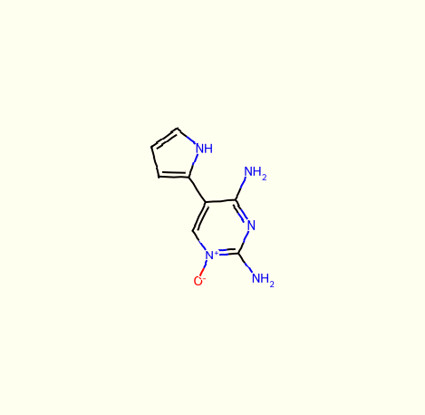 Nc1nc(N)[n+]([O-])cc1-c1ccc[nH]1